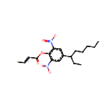 C/C=C/C(=O)Oc1c([N+](=O)[O-])cc(C(CC)CCCCC)cc1[N+](=O)[O-]